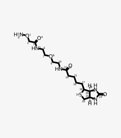 NOCC(=O)NCCOCCNC(=O)CCCCC1SC[C@@H]2NC(=O)N[C@H]12